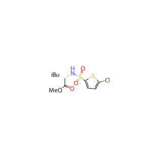 CC[C@H](C)[C@H](NS(=O)(=O)c1ccc(Cl)s1)C(=O)OC